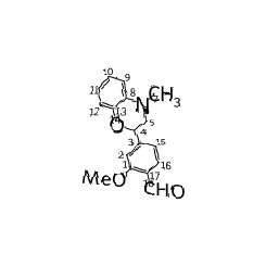 COc1cc(C2CN(C)c3ccccc3O2)ccc1C=O